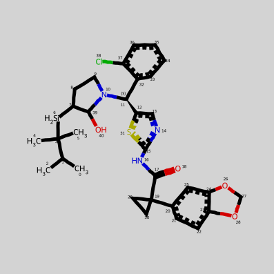 CC(C)C(C)(C)[SiH2]C1CCN([C@H](c2cnc(NC(=O)C3(c4ccc5c(c4)OCO5)CC3)s2)c2ccccc2Cl)C1O